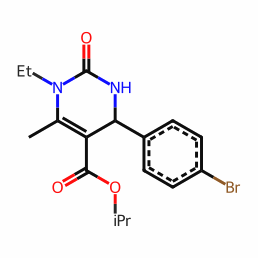 CCN1C(=O)NC(c2ccc(Br)cc2)C(C(=O)OC(C)C)=C1C